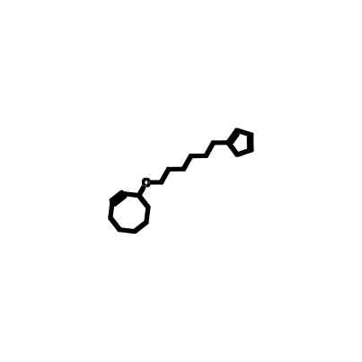 C1#CC(OCCCCCCC2=CC=CC2)CCCCC1